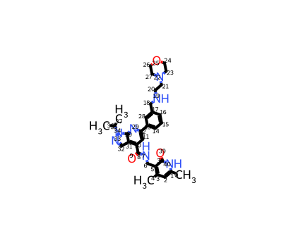 Cc1cc(C)c(CNC(=O)c2cc(-c3cccc(CNCCN4CCOCC4)c3)nc3c2cnn3C(C)C)c(=O)[nH]1